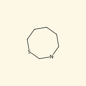 C1CC[N]CSCC1